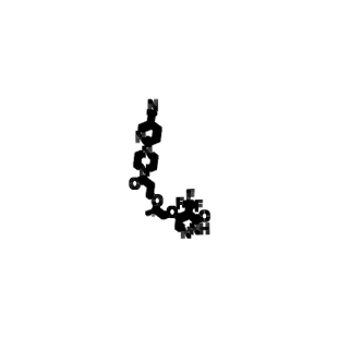 C[C@H](COc1cn[nH]c(=O)c1C(F)(F)F)OCCC(=O)N1CCN(c2ccc(C#N)cn2)CC1